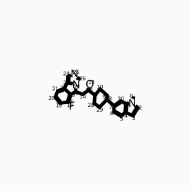 Cn1ccc2ccc(C3CCC(C(=O)CC4c5c(F)cccc5-c5cncn54)CC3)cc21